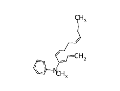 C=C/C=C(\C=C/CC/C=C\CCC)N(C)c1ccccc1